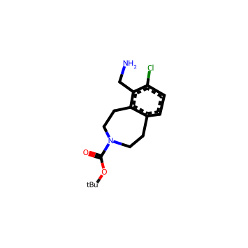 CC(C)(C)OC(=O)N1CCc2ccc(Cl)c(CN)c2CC1